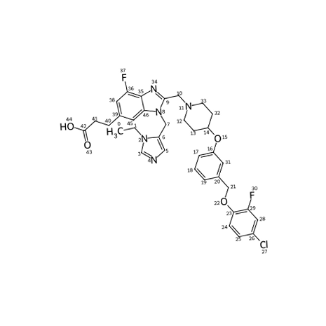 CCn1cncc1Cn1c(CN2CCC(Oc3cccc(COc4ccc(Cl)cc4F)c3)CC2)nc2c(F)cc(CCC(=O)O)cc21